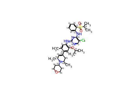 Cc1cc(Nc2ncc(Cl)c(Nc3ccccc3S(=O)(=O)C(C)C)n2)c(OC(C)C)cc1C1=C[C@@H](C)N(C2CCOCC2)[C@H](C)C1